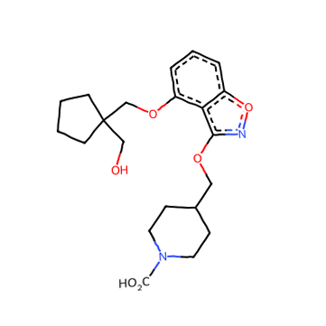 O=C(O)N1CCC(COc2noc3cccc(OCC4(CO)CCCC4)c23)CC1